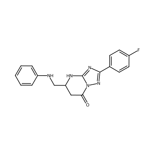 O=C1CC(CNc2ccccc2)Nc2nc(-c3ccc(F)cc3)nn21